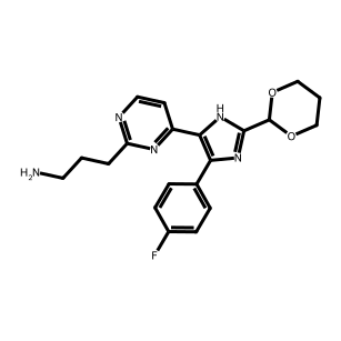 NCCCc1nccc(-c2[nH]c(C3OCCCO3)nc2-c2ccc(F)cc2)n1